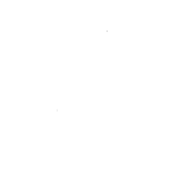 CCCC(CC)CCSF